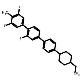 CCC1CCC(c2ccc(-c3ccc(-c4cc(F)c(C)c(F)c4)c(F)c3)cc2)CC1